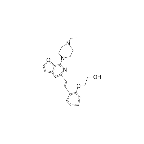 CCN1CCN(c2nc(C=Cc3ccccc3OCCO)cc3ccoc23)CC1